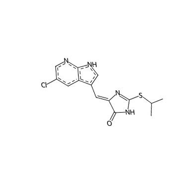 CC(C)SC1=N/C(=C\c2c[nH]c3ncc(Cl)cc23)C(=O)N1